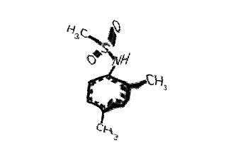 Cc1ccc(NS(C)(=O)=O)c(C)c1